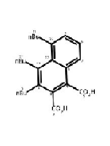 CCCCc1c(C(=O)O)c(C(=O)O)c2cccc(CCCC)c2c1CCCC